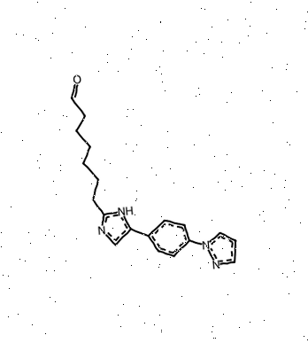 O=CCCCCCCc1ncc(-c2ccc(-n3cccn3)cc2)[nH]1